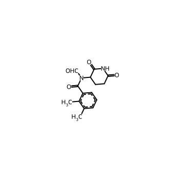 Cc1cccc(C(=O)N(C=O)C2CCC(=O)NC2=O)c1C